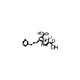 O=C(O)c1cnc2n(c1=O)[C@H](C(=O)O)CC2CCCc1ccccc1